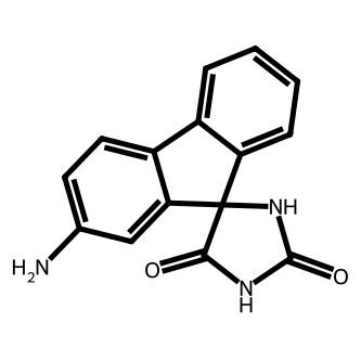 Nc1ccc2c(c1)C1(NC(=O)NC1=O)c1ccccc1-2